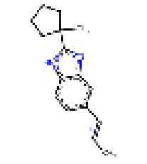 C/C=C/c1ccc2[nH]c(C3(C)CCCC3)nc2c1